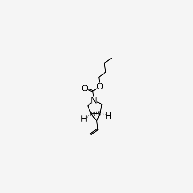 C=CC1[C@H]2CN(C(=O)OCCCC)C[C@@H]12